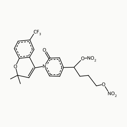 CC1(C)C=C(n2ccc(C(CCCO[N+](=O)[O-])O[N+](=O)[O-])cc2=O)c2cc(C(F)(F)F)ccc2O1